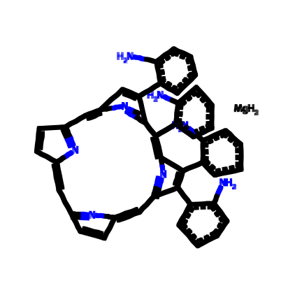 Nc1ccccc1C1=CC2=CC3=NC(=CC4=NC(=CC5=NC(=C(c6ccccc6N)C1=N2)C(c1ccccc1N)=C5c1ccccc1N)C=C4)C=C3.[MgH2]